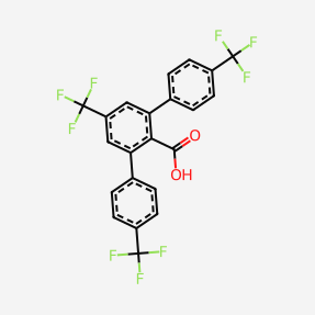 O=C(O)c1c(-c2ccc(C(F)(F)F)cc2)cc(C(F)(F)F)cc1-c1ccc(C(F)(F)F)cc1